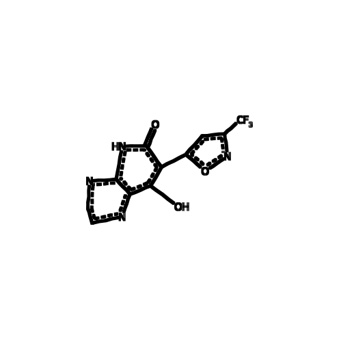 O=c1[nH]c2nccnc2c(O)c1-c1cc(C(F)(F)F)no1